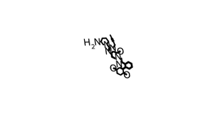 CC#CCn1c(N2CCCC(N)C2)nc2ccn(Cc3nc4c(c5ccccc35)C(=O)CCC4=O)c(=O)c21